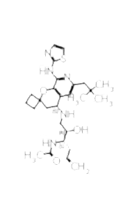 C=CC[C@H](NC(C)=O)[C@H](O)CN[C@H]1CC2(CCC2)Oc2c1cc(CC(C)(C)C)nc2Nc1nccs1